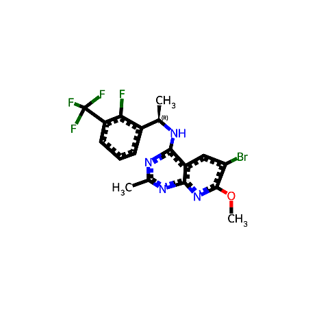 COc1nc2nc(C)nc(N[C@H](C)c3cccc(C(F)(F)F)c3F)c2cc1Br